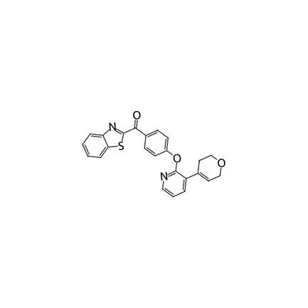 O=C(c1ccc(Oc2ncccc2C2=CCOCC2)cc1)c1nc2ccccc2s1